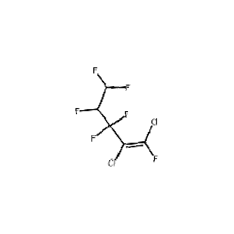 FC(Cl)=C(Cl)C(F)(F)C(F)C(F)F